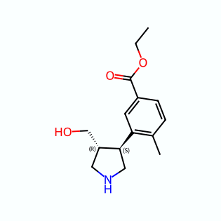 CCOC(=O)c1ccc(C)c([C@H]2CNC[C@@H]2CO)c1